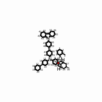 Cc1ccccc1Oc1cc(N(c2ccc(-c3ccccc3)cc2)c2ccc(-c3ccc(-n4c5ccccc5c5ccccc54)cc3)cc2)ccc1C1[C@H]2C[C@H](C)C[C@H]1C[C@H](C)C2